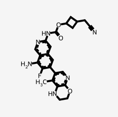 Cc1c(-c2cc3cc(NC(=O)OC4CC(CC#N)C4)ncc3c(N)c2F)cnc2c1NCCO2